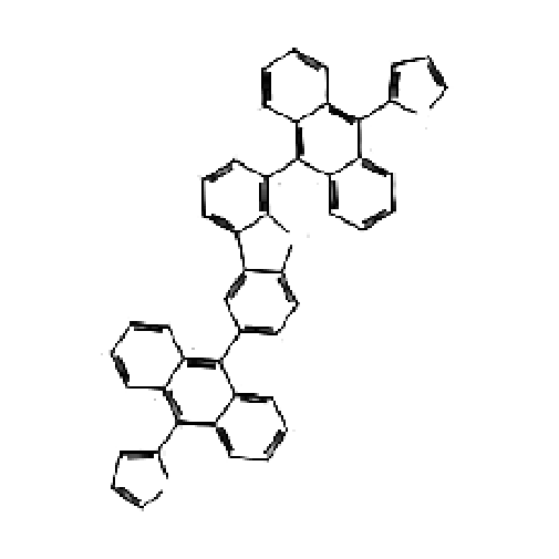 c1coc(-c2c3ccccc3c(-c3ccc4sc5c(-c6c7ccccc7c(-c7ccco7)c7ccccc67)cccc5c4c3)c3ccccc23)c1